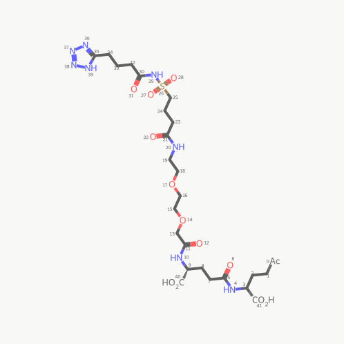 CC(=O)CCC(NC(=O)CC[C@H](NC(=O)COCCOCCNC(=O)CCCS(=O)(=O)NC(=O)CCCc1nnn[nH]1)C(=O)O)C(=O)O